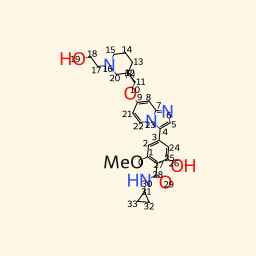 COc1cc(-c2cnc3cc(OC[C@@H]4CCCN(CCO)C4)ccn23)cc(O)c1C(=O)NC1CC1